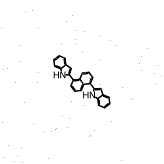 c1ccc2[nH]c(-c3cccc4c(-c5cc6ccccc6[nH]5)cccc34)cc2c1